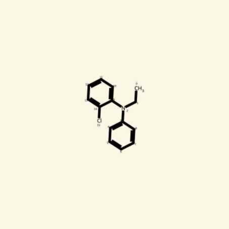 CCN(c1cc[c]cc1)c1ccccc1Cl